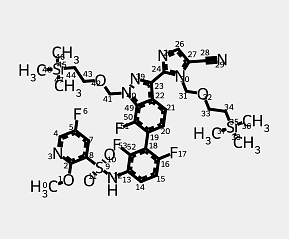 COc1ncc(F)cc1S(=O)(=O)Nc1ccc(F)c(-c2ccc3c(-c4ncc(C#N)n4COCC[Si](C)(C)C)nn(COCC[Si](C)(C)C)c3c2F)c1F